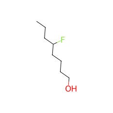 CCCC(F)CCCCO